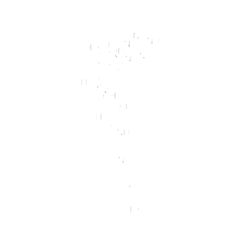 CC(C)(COP(=O)(O)OP(=O)(O)OC[C@H]1O[C@@H](n2cnc3c(N)ncnc32)[C@H](O)[C@@H]1OP(=O)(O)O)C(O)C(=O)NCCC(=O)NCCSC(=O)CCC=O